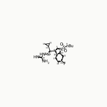 CCCCS(=O)(=O)n1cc(C(=NNC(=N)N)C2CC2)c2ccc(F)cc21